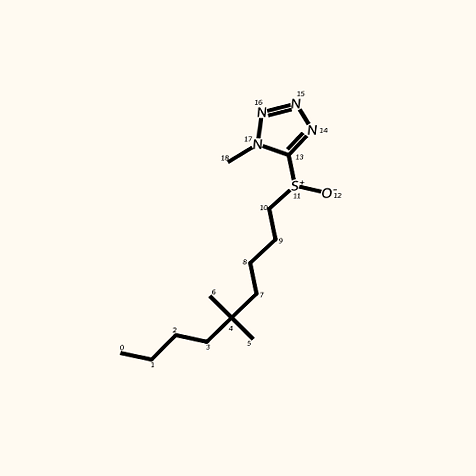 CCCCC(C)(C)CCCC[S+]([O-])c1nnnn1C